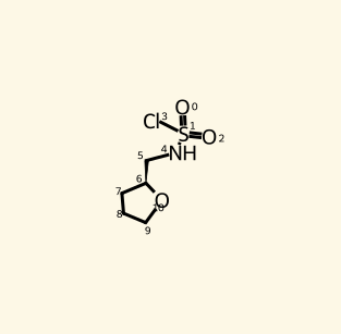 O=S(=O)(Cl)NC[C@@H]1CCCO1